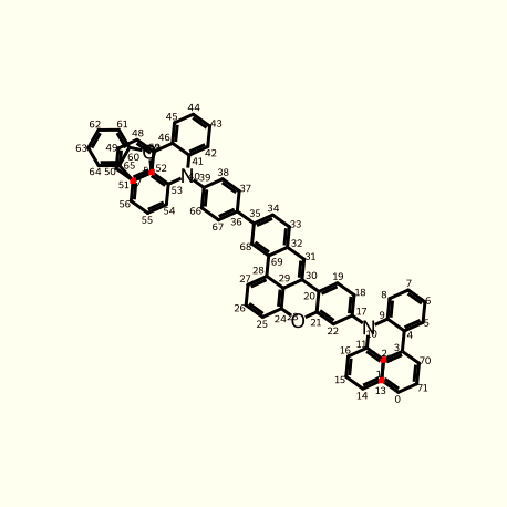 c1ccc(-c2ccccc2N(c2ccccc2)c2ccc3c(c2)Oc2cccc4c2c-3cc2ccc(-c3ccc(N(c5ccccc5-c5ccccc5)c5cccc6c5oc5ccccc56)cc3)cc24)cc1